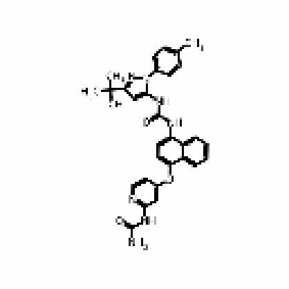 Cc1ccc(-n2nc(C(C)(C)C)cc2NC(=O)Nc2ccc(Oc3ccnc(NC(N)=O)c3)c3ccccc23)cc1